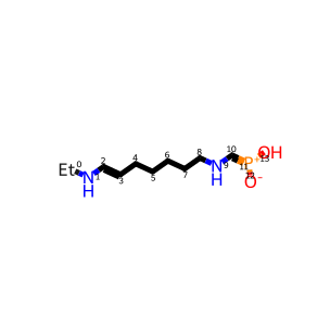 CCNC=CCCCCCN/C=[P+](\[O-])O